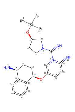 CC(C)[Si](O[C@@H]1CCN(C(=N)n2cc(O[C@@H]3CC[C@H](N)c4ccccc43)ccc2=N)C1)(C(C)C)C(C)C